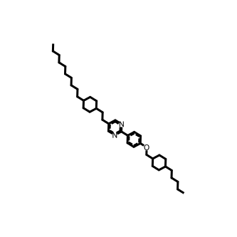 CCCCCCCCCCC1CCC(CCc2cnc(-c3ccc(OCC4CCC(CCCCC)CC4)cc3)nc2)CC1